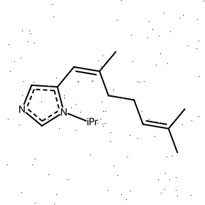 CC(C)=CCCC(C)=Cc1cncn1C(C)C